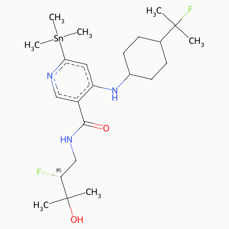 CC(C)(F)C1CCC(Nc2c[c]([Sn]([CH3])([CH3])[CH3])ncc2C(=O)NC[C@@H](F)C(C)(C)O)CC1